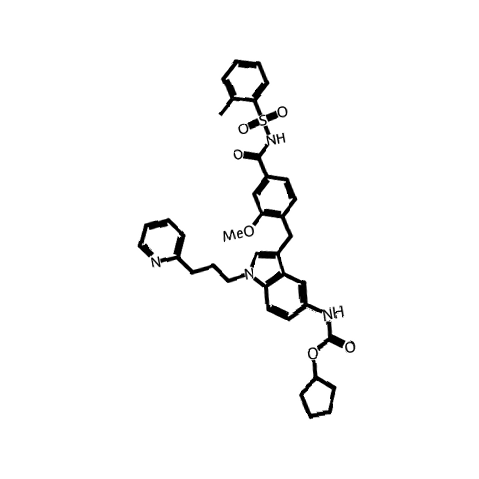 COc1cc(C(=O)NS(=O)(=O)c2ccccc2C)ccc1Cc1cn(CCCc2ccccn2)c2ccc(NC(=O)OC3CCCC3)cc12